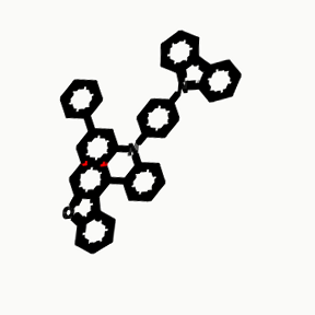 c1ccc(-c2cccc(N(c3ccc(-n4c5ccccc5c5ccccc54)cc3)c3ccccc3-c3cccc4oc5ccccc5c34)c2)cc1